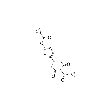 O=C(Oc1ccc(C2CC(=O)C(C(=O)C3CC3)C(=O)C2)cc1)C1CC1